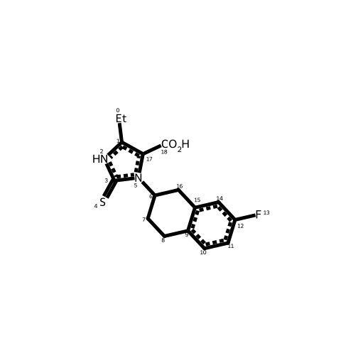 CCc1[nH]c(=S)n(C2CCc3ccc(F)cc3C2)c1C(=O)O